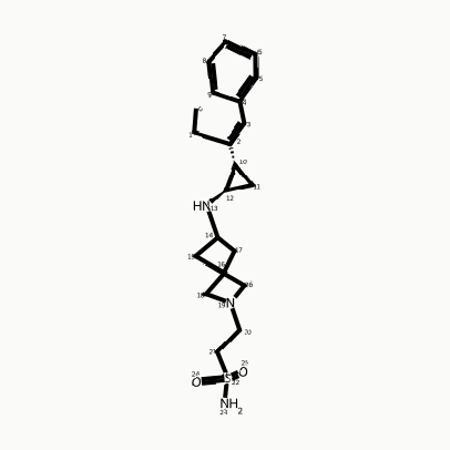 CC/C(=C\c1ccccc1)[C@@H]1C[C@H]1NC1CC2(C1)CN(CCS(N)(=O)=O)C2